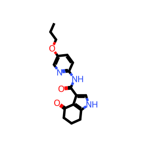 CCCOc1ccc(NC(=O)c2c[nH]c3c2C(=O)CCC3)nc1